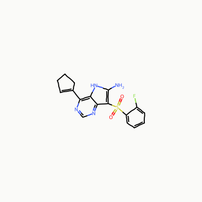 Nc1[nH]c2c(C3=CCCC3)ncnc2c1S(=O)(=O)c1ccccc1F